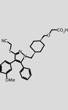 COc1cccc(-c2c(SCC#N)nn(C[C@H]3CC[C@@H](COCC(=O)O)CC3)c2-c2ccccc2)c1